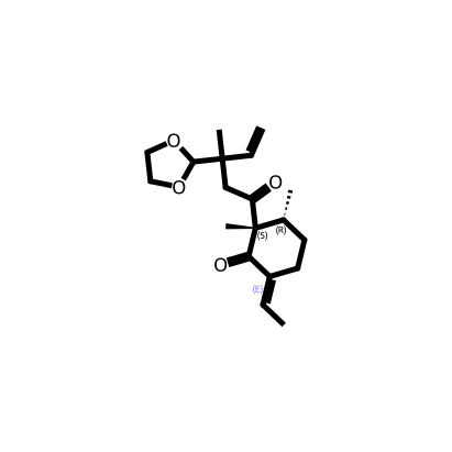 C=CC(C)(CC(=O)[C@@]1(C)C(=O)/C(=C/C)CC[C@H]1C)C1OCCO1